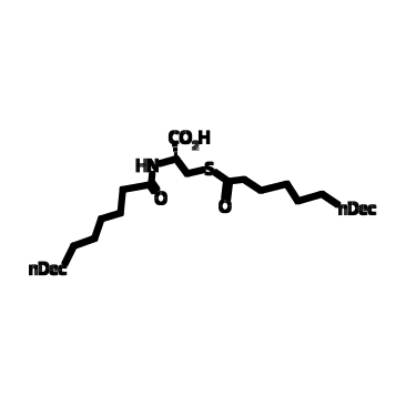 CCCCCCCCCCCCCCCC(=O)N[C@@H](CSC(=O)CCCCCCCCCCCCCCC)C(=O)O